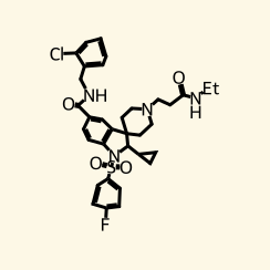 CCNC(=O)CCN1CCC2(CC1)c1cc(C(=O)NCc3ccccc3Cl)ccc1N(S(=O)(=O)c1ccc(F)cc1)C2C1CC1